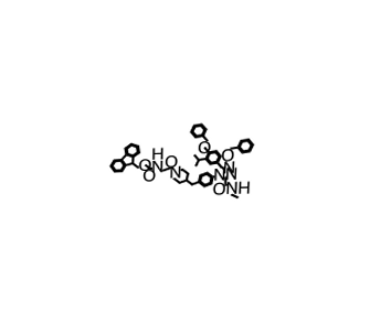 CCNC(=O)c1nnc(-c2cc(C(C)C)c(OCc3ccccc3)cc2OCc2ccccc2)n1-c1ccc(CC2CCN(C(=O)CNC(=O)OCC3c4ccccc4-c4ccccc43)CC2)cc1